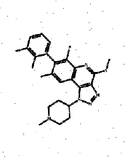 CSc1nc2c(F)c(-c3cccc(C)c3C)c(C)cc2c2c1nnn2C1CCN(C)CC1